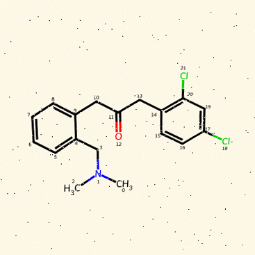 CN(C)Cc1ccccc1CC(=O)Cc1ccc(Cl)cc1Cl